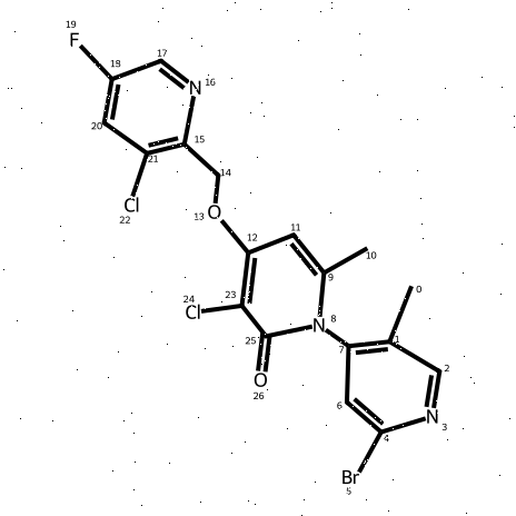 Cc1cnc(Br)cc1-n1c(C)cc(OCc2ncc(F)cc2Cl)c(Cl)c1=O